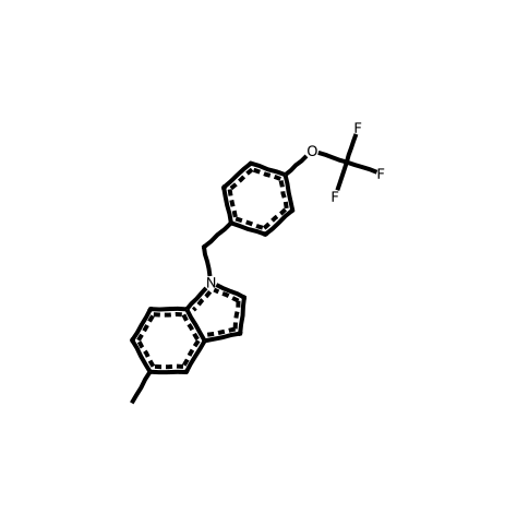 Cc1ccc2c(ccn2Cc2ccc(OC(F)(F)F)cc2)c1